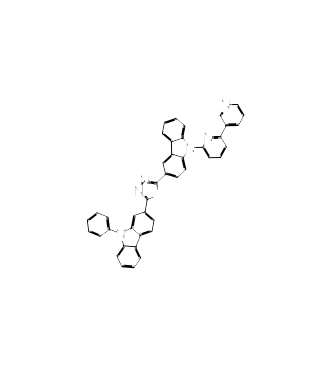 c1ccc(-n2c3ccccc3c3ccc(-c4nnc(-c5ccc6c(c5)c5ccccc5n6-c5cccc(-c6cccnc6)n5)s4)cc32)cc1